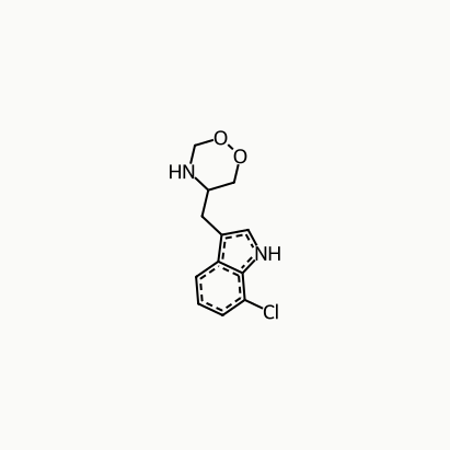 Clc1cccc2c(CC3COOCN3)c[nH]c12